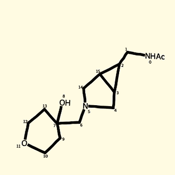 CC(=O)NCC1C2CN(CC3(O)CCOCC3)CC12